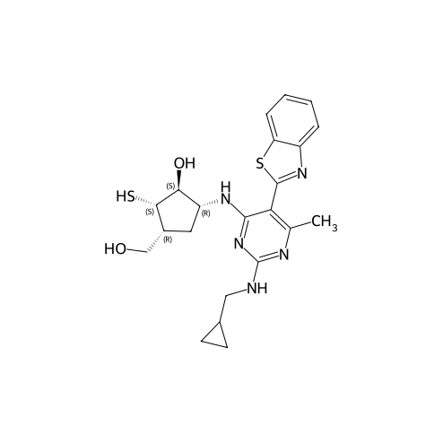 Cc1nc(NCC2CC2)nc(N[C@@H]2C[C@H](CO)[C@H](S)[C@H]2O)c1-c1nc2ccccc2s1